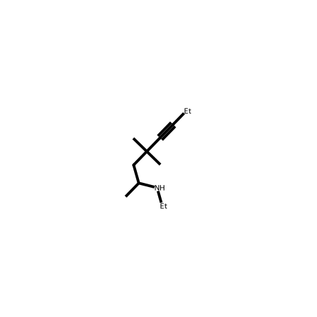 CCC#CC(C)(C)CC(C)NCC